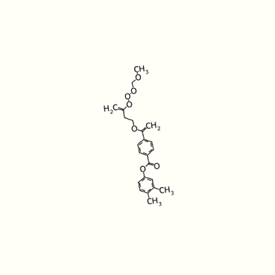 C=C(CCOC(=C)c1ccc(C(=O)Oc2ccc(C)c(C)c2)cc1)OOOCOC